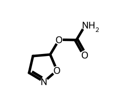 NC(=O)OC1CC=NO1